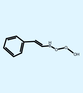 OOOB/C=C/c1ccccc1